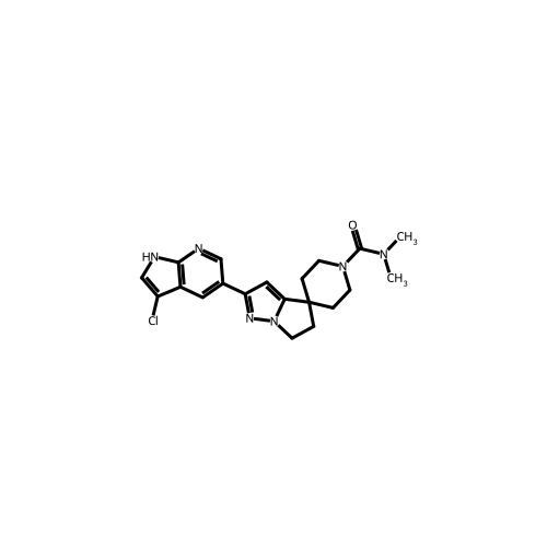 CN(C)C(=O)N1CCC2(CC1)CCn1nc(-c3cnc4[nH]cc(Cl)c4c3)cc12